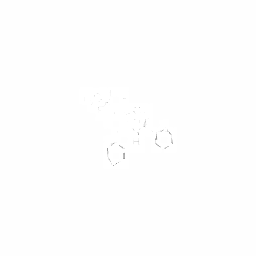 O=C(NC(Cc1ccccc1)C(O)C(F)(F)C(F)(F)C(F)(F)F)c1ccccc1